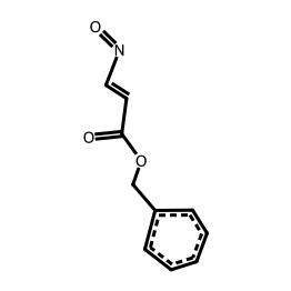 O=NC=CC(=O)OCc1ccccc1